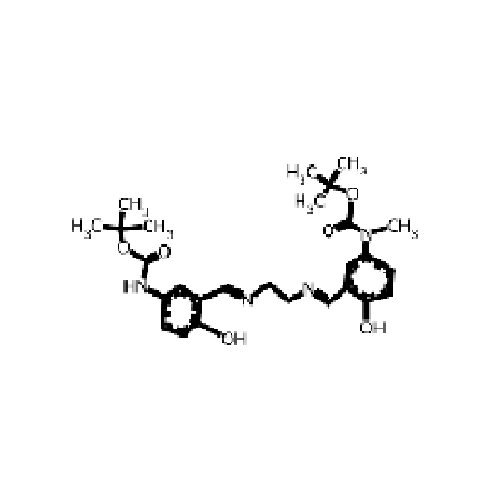 CN(C(=O)OC(C)(C)C)c1ccc(O)c(/C=N/CC/N=C/c2cc(NC(=O)OC(C)(C)C)ccc2O)c1